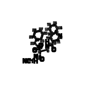 N#CCNC(=O)C(CNC(=O)c1cnc2ccccc2c1)S(=O)(=O)Cc1ccccc1